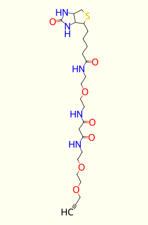 C#CCOCCOCCNC(=O)CC(=O)NCCOCCNC(=O)CCCCC1SCC2NC(=O)NC21